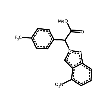 COC(=O)C(c1ccc(C(F)(F)F)cc1)n1cc2c([N+](=O)[O-])cccc2n1